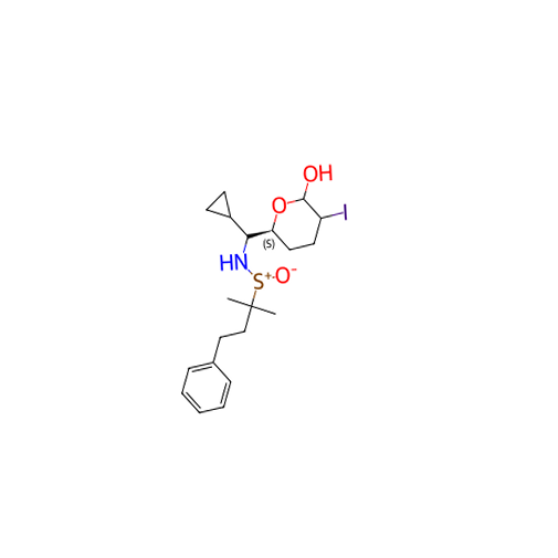 CC(C)(CCc1ccccc1)[S+]([O-])NC(C1CC1)[C@@H]1CCC(I)C(O)O1